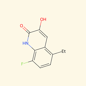 CCc1ccc(F)c2[nH]c(=O)c(O)cc12